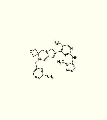 Cc1cccc(CN2C=C3C=C(c4nc(Nc5ccnn5C)ncc4C)CN3CC23COC3)n1